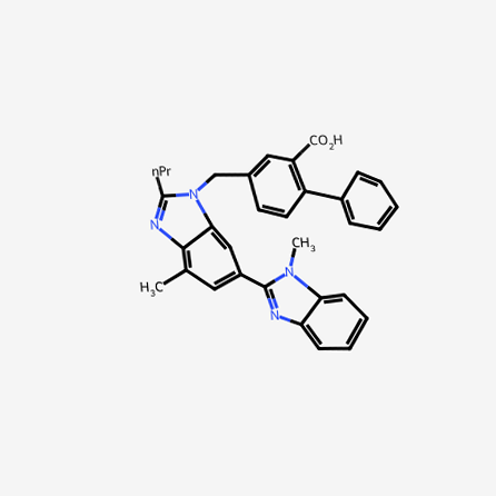 CCCc1nc2c(C)cc(-c3nc4ccccc4n3C)cc2n1Cc1ccc(-c2ccccc2)c(C(=O)O)c1